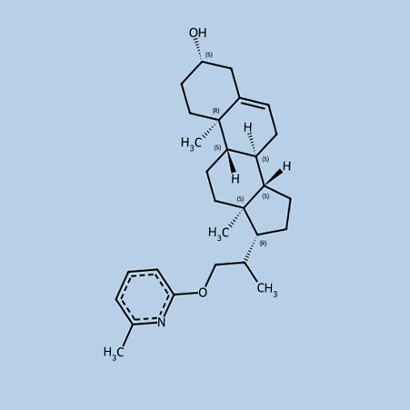 Cc1cccc(OCC(C)[C@H]2CC[C@H]3[C@@H]4CC=C5C[C@@H](O)CC[C@]5(C)[C@H]4CC[C@]23C)n1